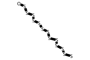 O=S=S=S=S=S=S=S=S=S=S=S=S=S